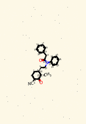 C[C@@H]1C(=O)C(C#N)CC[C@H]1CCN(C(=O)Cc1ccccc1)c1ccccc1